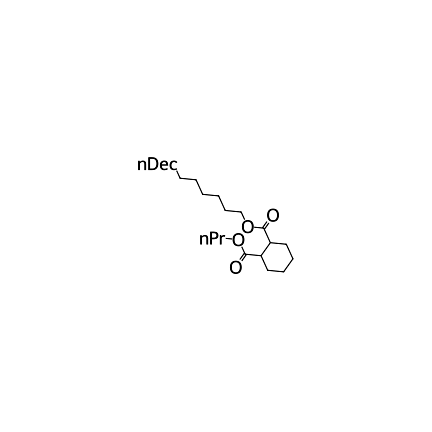 CCCCCCCCCCCCCCCCOC(=O)C1CCCCC1C(=O)OCCC